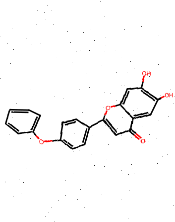 O=c1cc(-c2ccc(Oc3ccccc3)cc2)oc2cc(O)c(O)cc12